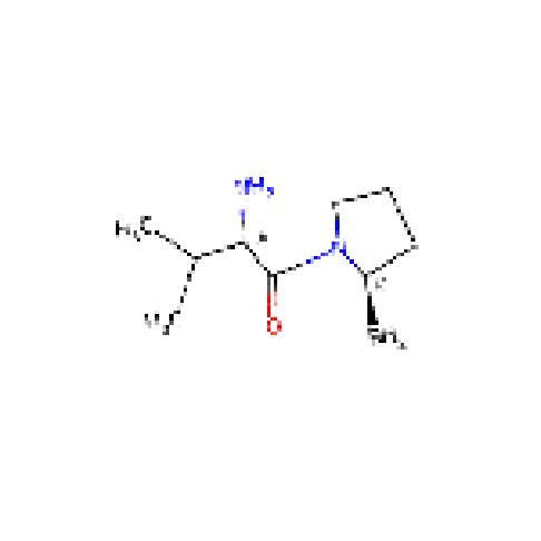 B[C@@H]1CCCN1C(=O)[C@@H](N)C(C)C